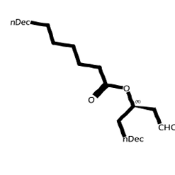 CCCCCCCCCCCCCCCC(=O)O[C@@H](CC=O)CCCCCCCCCCC